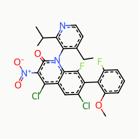 CCc1ccnc(C(C)C)c1-n1c(=O)c([N+](=O)[O-])c(Cl)c2cc(Cl)c(-c3c(F)cccc3OC)c(F)c21